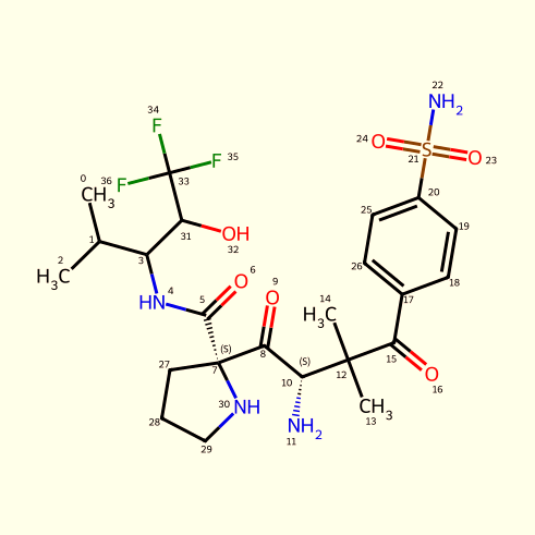 CC(C)C(NC(=O)[C@@]1(C(=O)[C@@H](N)C(C)(C)C(=O)c2ccc(S(N)(=O)=O)cc2)CCCN1)C(O)C(F)(F)F